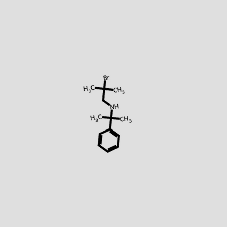 CC(C)(Br)CNC(C)(C)c1ccccc1